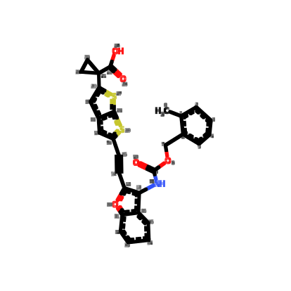 Cc1ccccc1COC(=O)Nc1c(C#Cc2cc3cc(C4(C(=O)O)CC4)sc3s2)oc2ccccc12